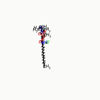 CCCCCCCCCCCCCCCCCCNC(=O)OCC(COC(=O)N(CC[N+](C)(C)C)C(C)=O)OC.[Cl-]